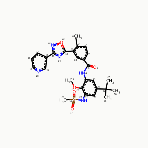 COc1c(NC(=O)c2ccc(C)c(-c3nc(-c4cccnc4)no3)c2)cc(C(C)(C)C)cc1NS(C)(=O)=O